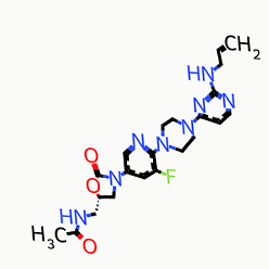 C=CCNc1nccc(N2CCN(c3ncc(N4C[C@H](CNC(C)=O)OC4=O)cc3F)CC2)n1